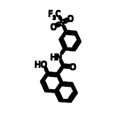 O=C(Nc1cccc(S(=O)(=O)C(F)(F)F)c1)c1c(O)ccc2ccccc12